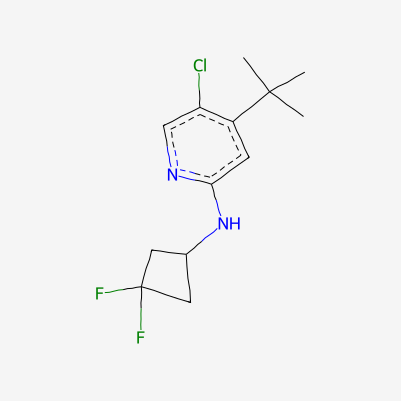 CC(C)(C)c1cc(NC2CC(F)(F)C2)ncc1Cl